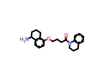 NC1CCCc2c(OCCCC(=O)N3CCCc4ccccc43)cccc21